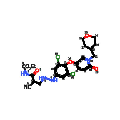 CCOC(=O)NC(=O)C(C#N)CNNc1cc(Cl)c(Oc2ccc(=O)n(CC3CCOCC3)c2)c(Cl)c1